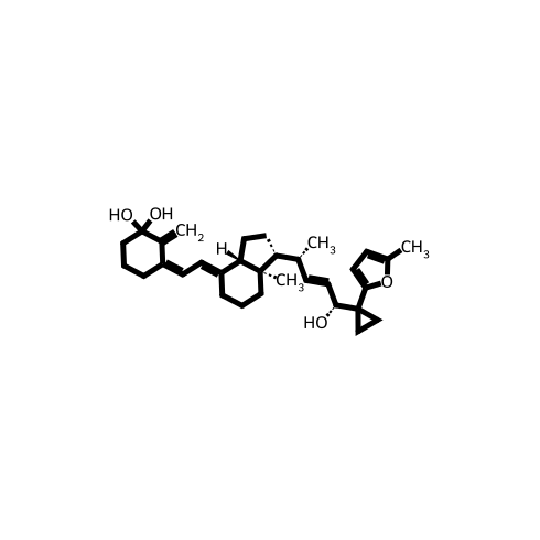 C=C1/C(=C\C=C2/CCC[C@]3(C)[C@@H]([C@H](C)/C=C/[C@@H](O)C4(c5ccc(C)o5)CC4)CC[C@@H]23)CCCC1(O)O